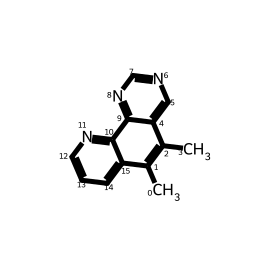 Cc1c(C)c2cncnc2c2ncccc12